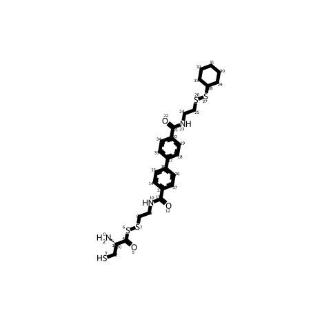 N[C@@H](CS)C(=O)SSCCNC(=O)c1ccc(-c2ccc(C(=O)NCCSSC3CCCCC3)cc2)cc1